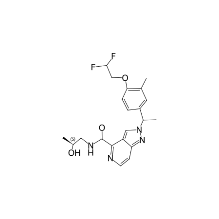 Cc1cc(C(C)n2cc3c(C(=O)NC[C@H](C)O)nccc3n2)ccc1OCC(F)F